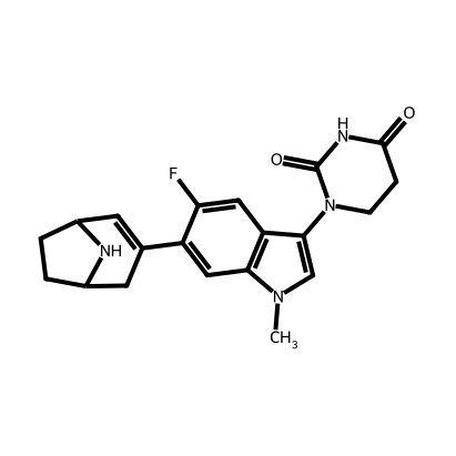 Cn1cc(N2CCC(=O)NC2=O)c2cc(F)c(C3=CC4CCC(C3)N4)cc21